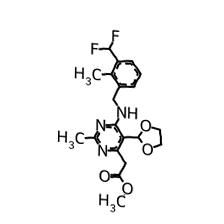 COC(=O)Cc1nc(C)nc(NCc2cccc(C(F)F)c2C)c1C1OCCO1